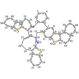 Cc1ccccc1-c1cc2c(cc1CC1=N/c3sc4ccccc4c3CC/C=C\1c1cccc3c1sc1ccccc13)sc1ccc3ccccc3c12